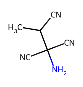 CC(C#N)C(N)(C#N)C#N